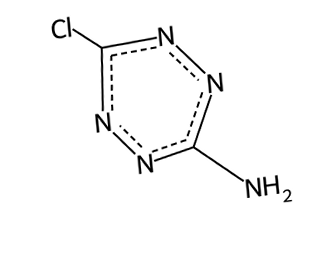 Nc1nnc(Cl)nn1